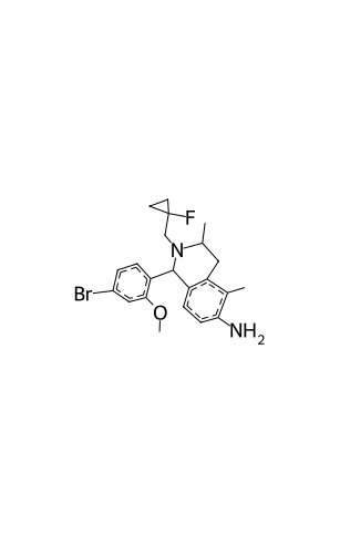 COc1cc(Br)ccc1C1c2ccc(N)c(C)c2CC(C)N1CC1(F)CC1